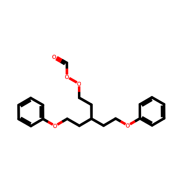 O=COOCCC(CCOc1ccccc1)CCOc1ccccc1